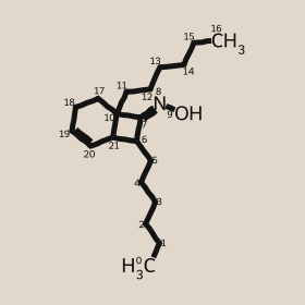 CCCCCCC1/C(=N\O)C2(CCCCCC)CCC=CC12